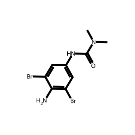 CN(C)C(=O)Nc1cc(Br)c(N)c(Br)c1